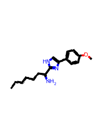 CCCCCCC(N)c1nc(-c2ccc(OC)cc2)c[nH]1